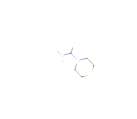 O=[C]C(NC=O)N1CCSCC1